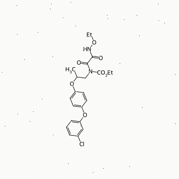 CCONC(=O)C(=O)N(CC(C)Oc1ccc(Oc2cccc(Cl)c2)cc1)C(=O)OCC